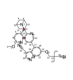 COc1ccc(CN2C3CC2CN(c2ccc(-c4cc(OCC(C)(C)C#N)cn5ncc(C#N)c45)cn2)C3)cn1